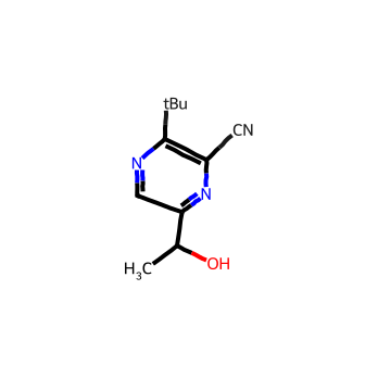 CC(O)c1cnc(C(C)(C)C)c(C#N)n1